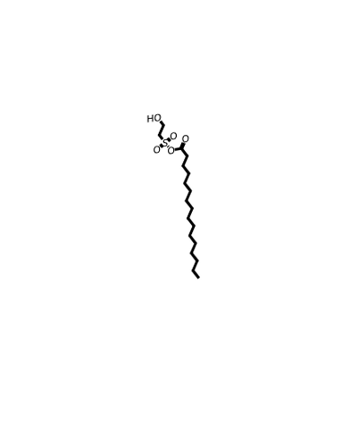 CCCCCCCCCCCCCCCC(=O)OS(=O)(=O)CCO